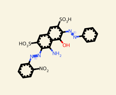 Nc1c(/N=N/c2ccccc2[N+](=O)[O-])c(S(=O)(=O)O)cc2cc(S(=O)(=O)O)c(/N=N/c3ccccc3)c(O)c12